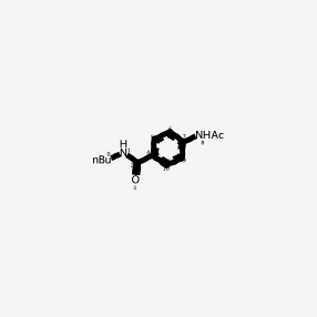 CCCCNC(=O)c1ccc(NC(C)=O)cc1